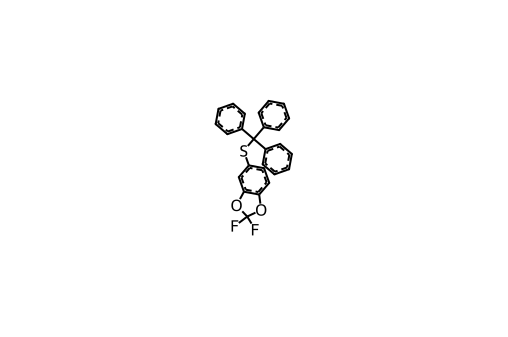 FC1(F)Oc2ccc(SC(c3ccccc3)(c3ccccc3)c3ccccc3)cc2O1